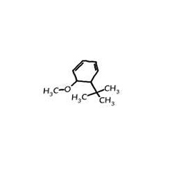 COC1C=CC=CC1C(C)(C)C